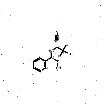 CC(C)(O)[C@@H](C#N)N[C@@H](CO)c1ccccc1